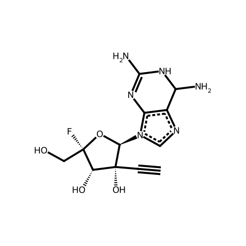 C#C[C@]1(O)[C@H](n2cnc3c2N=C(N)NC3N)O[C@](F)(CO)[C@H]1O